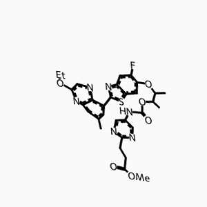 CCOc1cnc2c(-c3nc4cc(F)c(OC(C)C(C)OC(=O)Nc5cnc(CCC(=O)OC)nc5)cc4s3)cc(C)cc2n1